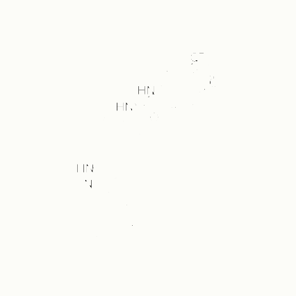 O=C(Nc1ccc(-c2cc(-c3ccccc3)n[nH]2)cc1)Nc1ccc(Cl)c(C(F)(F)F)c1